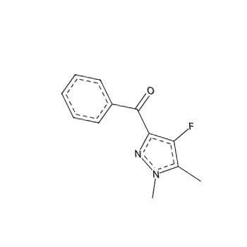 Cc1c(F)c(C(=O)c2ccccc2)nn1C